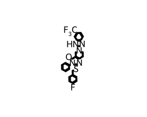 O=c1c2c(nc(SCc3ccc(F)cc3)n1-c1ccccc1)CCN(c1nc3ccc(C(F)(F)F)cc3[nH]1)C2